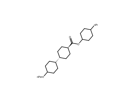 CCCCCC1CCC([C@H]2CC[C@H](C(=O)OC3CCC(CCC)CC3)CC2)CC1